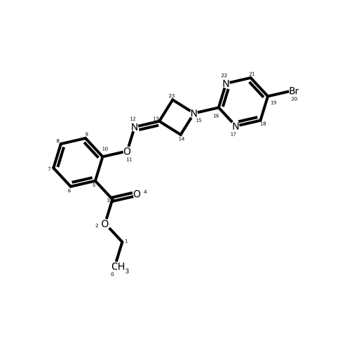 CCOC(=O)c1ccccc1ON=C1CN(c2ncc(Br)cn2)C1